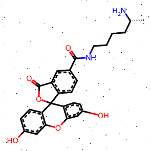 C[C@@H](N)CCCCNC(=O)c1ccc2c(c1)C(=O)OC21c2ccc(O)cc2Oc2cc(O)ccc21